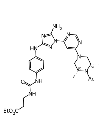 CCOC(=O)CCNC(=O)Nc1ccc(Nc2nc(N)n(-c3cc(N4C[C@@H](C)N(C(C)=O)[C@@H](C)C4)ncn3)n2)cc1